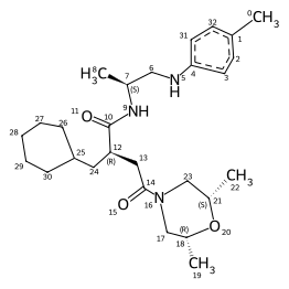 Cc1ccc(NC[C@H](C)NC(=O)[C@@H](CC(=O)N2C[C@@H](C)O[C@@H](C)C2)CC2CCCCC2)cc1